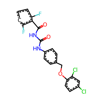 O=C(NC(=O)c1c(F)cccc1F)Nc1ccc(COc2ccc(Cl)cc2Cl)cc1